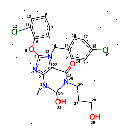 CN1c2nc(Oc3ccccc3Cl)n(Cc3ccc(Cl)cc3)c2C(=O)N(CCCO)C1O